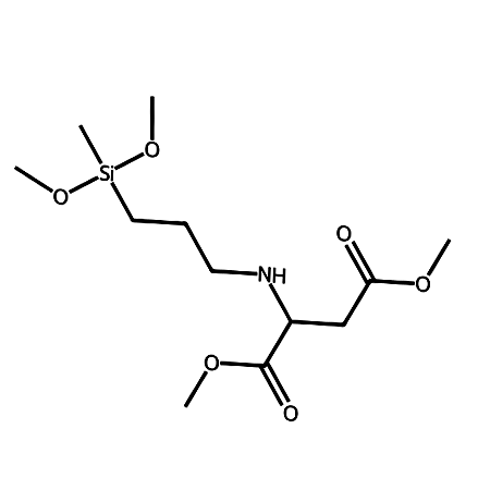 COC(=O)CC(NCCC[Si](C)(OC)OC)C(=O)OC